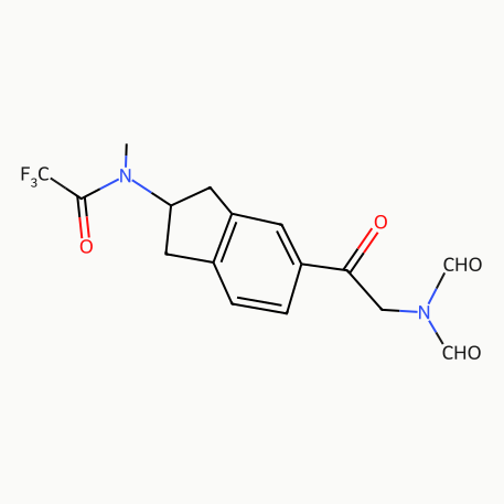 CN(C(=O)C(F)(F)F)C1Cc2ccc(C(=O)CN(C=O)C=O)cc2C1